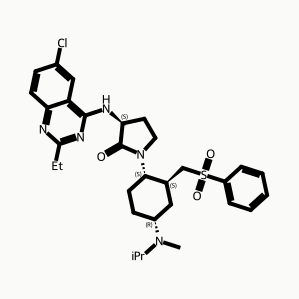 CCc1nc(N[C@H]2CCN([C@H]3CC[C@@H](N(C)C(C)C)C[C@@H]3CS(=O)(=O)c3ccccc3)C2=O)c2cc(Cl)ccc2n1